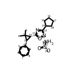 CC1(C)[C@H](c2ccccc2)[C@H]1c1nc(C2CCCC2)no1.N[SH](=O)=O